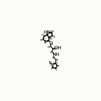 Cn1cccc1CCNCC(O)COc1cccc2[nH]ccc12